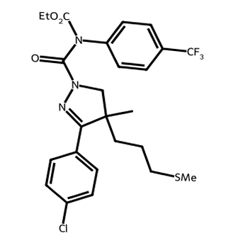 CCOC(=O)N(C(=O)N1CC(C)(CCCSC)C(c2ccc(Cl)cc2)=N1)c1ccc(C(F)(F)F)cc1